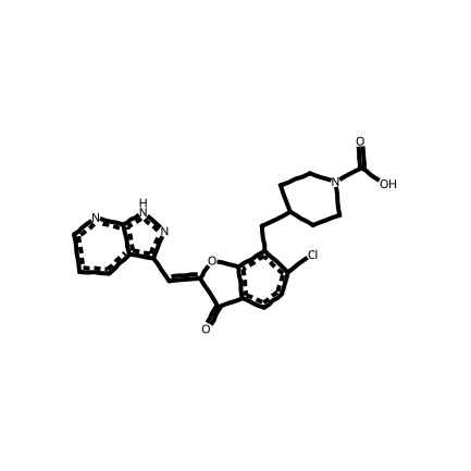 O=C1C(=Cc2n[nH]c3ncccc23)Oc2c1ccc(Cl)c2CC1CCN(C(=O)O)CC1